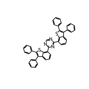 c1ccc(-c2sc3c(-c4ncnc(-c5cccc6c(-c7ccccc7)c(-c7ccccc7)sc56)n4)cccc3c2-c2ccccc2)cc1